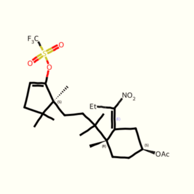 CC/C(=C1/C[C@@H](OC(C)=O)CC[C@]1(C)C(C)(C)CC[C@]1(C)C(OS(=O)(=O)C(F)(F)F)=CCC1(C)C)[N+](=O)[O-]